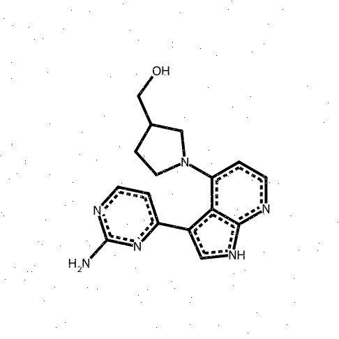 Nc1nccc(-c2c[nH]c3nccc(N4CCC(CO)C4)c23)n1